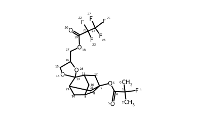 CC(C)(F)C(=O)OC12CC3CC(C1)C1(OCC(COC(=O)C(F)(F)C(F)(F)F)O1)C(C3)C2